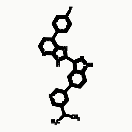 CN(C)c1cncc(-c2ccc3[nH]nc(-c4nc5c(-c6ccc(F)cc6)ccnc5[nH]4)c3c2)c1